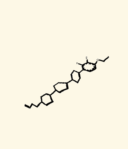 C=CCCC1CCC(C2CCC(C3CC=C(c4ccc(OCC)c(F)c4F)CC3)CC2)CC1